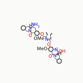 C=C/C=C(COc1cc2c(cc1OC)C(=O)N1Cc3ccccc3C[C@H]1C(O)N2C)\N=C(/C=C)COc1cc2c(cc1OC)C(=O)N1Cc3ccccc3C[C@H]1C(N)C2